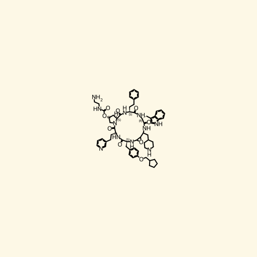 NCCNC(=O)O[C@@H]1C[C@H]2C(=O)N[C@@H](CCc3ccccc3)C(=O)N[C@H](Cc3c[nH]c4ccccc34)C(=O)NC(CC3CCNCC3)C3OC3N[C@@H](Cc3ccc(OCC4CCCC4)cc3)C(=O)N[C@@H](CCc3cccnc3)C(=O)N2C1